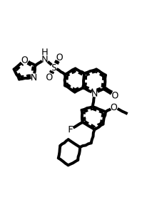 COc1cc(CC2CCCCC2)c(F)cc1-n1c(=O)ccc2cc(S(=O)(=O)Nc3ncco3)ccc21